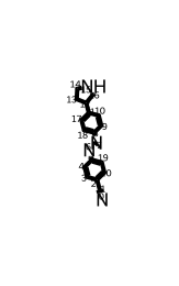 N#Cc1ccc(/N=N/c2ccc(C3CCNC3)cc2)cc1